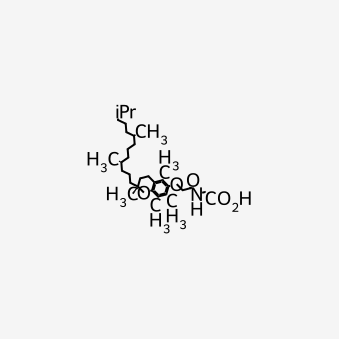 Cc1c(C)c2c(c(C)c1OCC(=O)NCC(=O)O)CC[C@@](C)(CCC[C@H](C)CCC[C@H](C)CCCC(C)C)O2